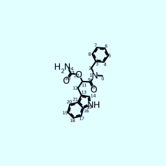 CN(Cc1ccccc1)C(=O)C(Cc1c[nH]c2ccccc12)OC(N)=O